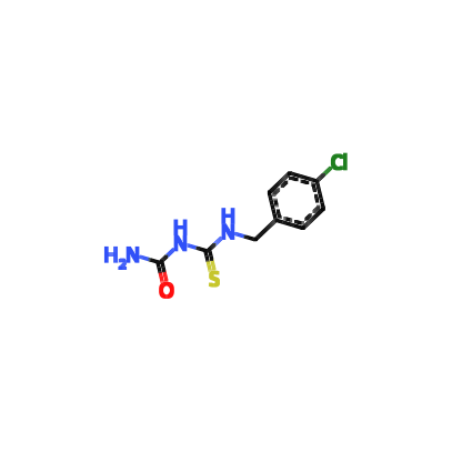 NC(=O)NC(=S)NCc1ccc(Cl)cc1